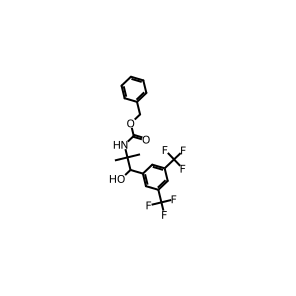 CC(C)(NC(=O)OCc1ccccc1)C(O)c1cc(C(F)(F)F)cc(C(F)(F)F)c1